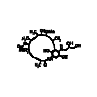 COC1/C=C\C=C(/C)C(=O)Nc2cc(O)c(NCC(O)CO)c(c2O)CC(C)CC(OC)[C@H](O)C(C)/C=C(\C)C1OC(N)=O